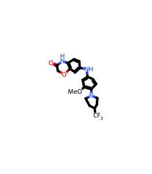 COc1cc(Nc2ccc3c(c2)OCC(=O)N3)ccc1N1CCC(C(F)(F)F)CC1